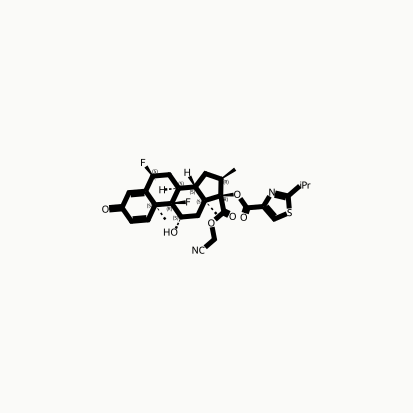 CC(C)c1nc(C(=O)O[C@]2(C(=O)OCC#N)[C@H](C)C[C@H]3[C@@H]4C[C@H](F)C5=CC(=O)C=C[C@]5(C)[C@@]4(F)[C@@H](O)C[C@@]32C)cs1